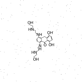 O=C1c2c(O)ccc(O)c2Cc2c(NCCNCCO)ccc(NCCNCCO)c21